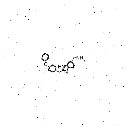 NCc1ccc2nc(Cc3ccc(Oc4ccccc4)cc3)[nH]c2c1